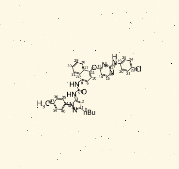 CCCCc1cc(NC(=O)Nc2ccc(Oc3ccnc(Nc4ccc(Cl)cc4)n3)c3ccccc23)n(-c2ccc(C)cc2)n1